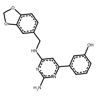 Nc1nc(NCc2ccc3c(c2)OCO3)cc(-c2cccc(O)c2)n1